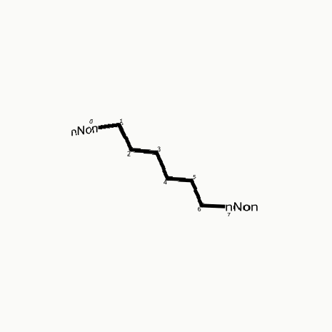 CCCCCCCCC[CH]CCCCCCCCCCCCCC